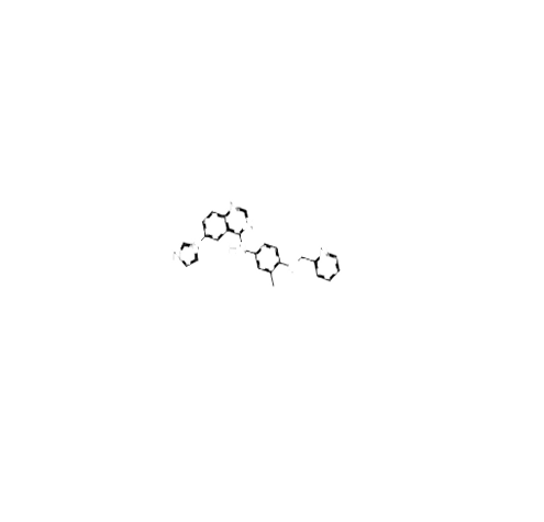 Cc1cc(Nc2ncnc3ccc(-n4ccnc4)cc23)ccc1OCc1ccccn1